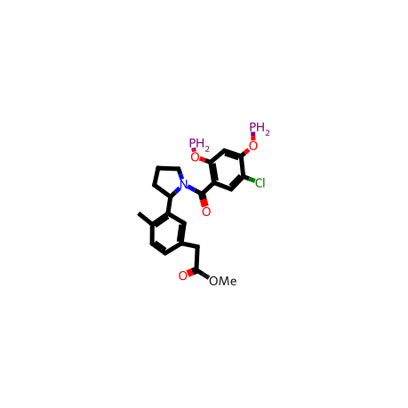 COC(=O)Cc1ccc(C)c(C2CCCN2C(=O)c2cc(Cl)c(OP)cc2OP)c1